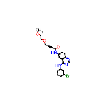 COCCOCC#CC(=O)Nc1ccc2ncnc(Nc3cccc(Br)c3)c2c1